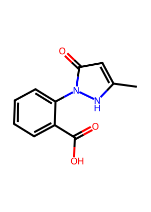 Cc1cc(=O)n(-c2ccccc2C(=O)O)[nH]1